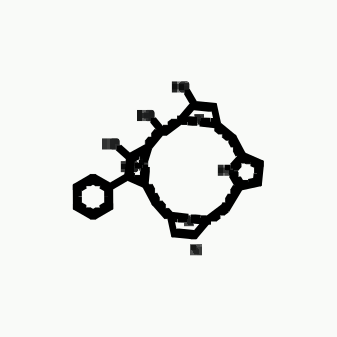 OC1=Cc2cc3ccc(cc4nc(cc5c(-c6ccccc6)c(O)c(c(O)c1n2)n5O)C=C4)[nH]3.[Ni]